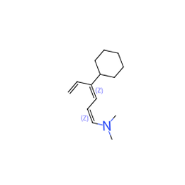 C=C/C(=C\C=C/N(C)C)C1CCCCC1